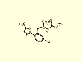 Cc1nnc(-c2ccc(Cl)cc2C[C@H](NC(=O)OC(C)(C)C)C(=O)O)o1